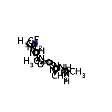 C=NN(/C=C(\C)F)c1ccc([C@H](C)NC(=O)[C@H]2CC[C@@H](c3nc(C)cc(Nc4cc(C)[nH]n4)n3)C2)cn1